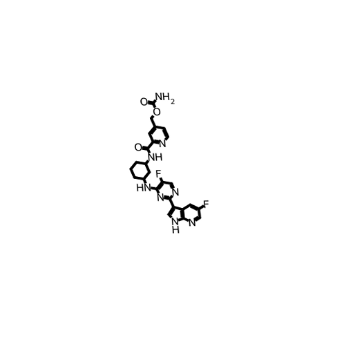 NC(=O)OCc1ccnc(C(=O)NC2CCCC(Nc3nc(-c4c[nH]c5ncc(F)cc45)ncc3F)C2)c1